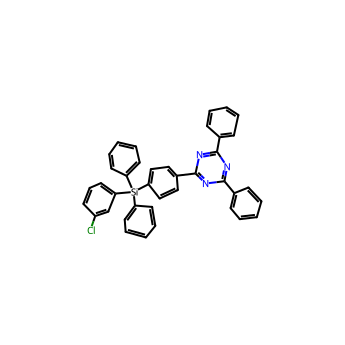 Clc1cccc([Si](c2ccccc2)(c2ccccc2)c2ccc(-c3nc(-c4ccccc4)nc(-c4ccccc4)n3)cc2)c1